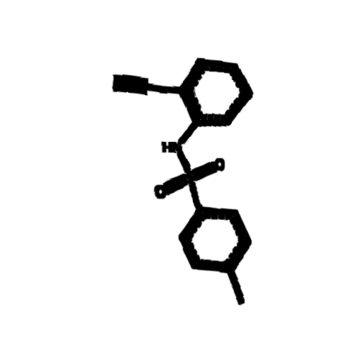 C#Cc1ccccc1NS(=O)(=O)c1ccc(C)cc1